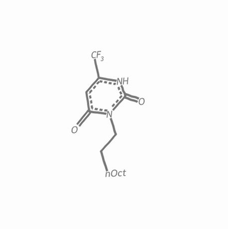 CCCCCCCCCCn1c(=O)cc(C(F)(F)F)[nH]c1=O